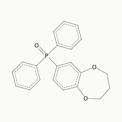 O=P(c1ccccc1)(c1ccccc1)c1ccc2c(c1)OCCCO2